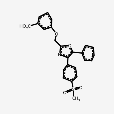 CS(=O)(=O)c1ccc(-c2nc(COc3cccc(C(=O)O)c3)oc2-c2ccccc2)cc1